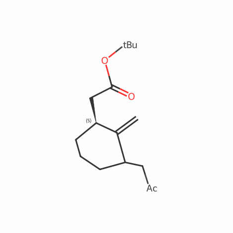 C=C1C(CC(C)=O)CCC[C@H]1CC(=O)OC(C)(C)C